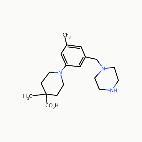 CC1(C(=O)O)CCN(c2cc(CN3CCNCC3)cc(C(F)(F)F)c2)CC1